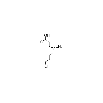 CCCCCN(C)CCC(=O)O